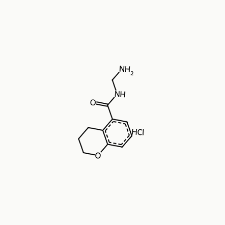 Cl.NCNC(=O)c1cccc2c1CCCO2